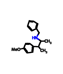 COc1ccc(C(C)C(C)NCc2ccccc2)cc1